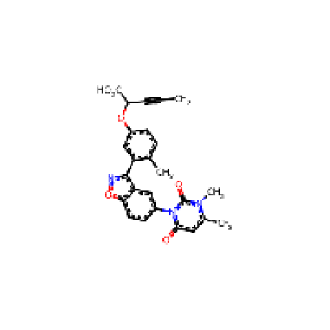 CC#CC(Oc1ccc(C)c(-c2noc3ccc(-n4c(=O)cc(C(F)(F)F)n(C)c4=O)cc23)c1)C(=O)O